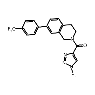 CCn1cc(C(=O)N2CCc3ccc(-c4ccc(C(F)(F)F)cc4)cc3C2)nn1